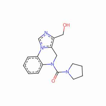 O=C(N1CCCC1)N1Cc2c(CO)ncn2-c2ccccc21